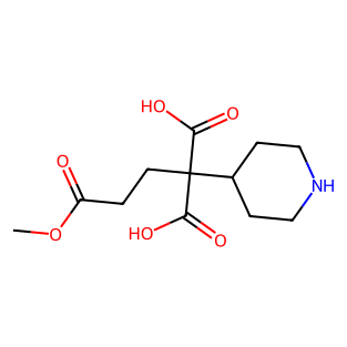 COC(=O)CCC(C(=O)O)(C(=O)O)C1CCNCC1